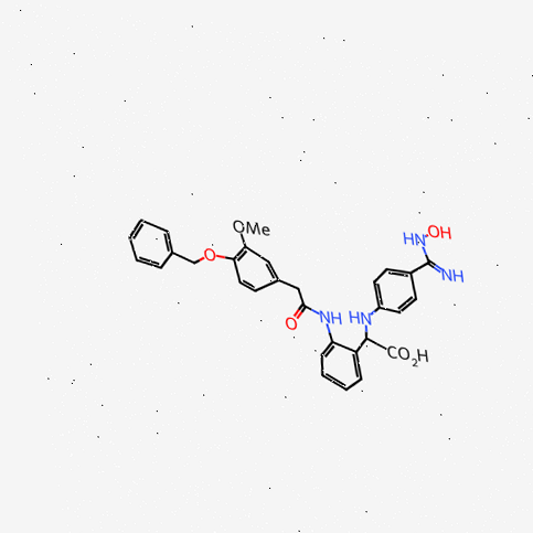 COc1cc(CC(=O)Nc2ccccc2C(Nc2ccc(C(=N)NO)cc2)C(=O)O)ccc1OCc1ccccc1